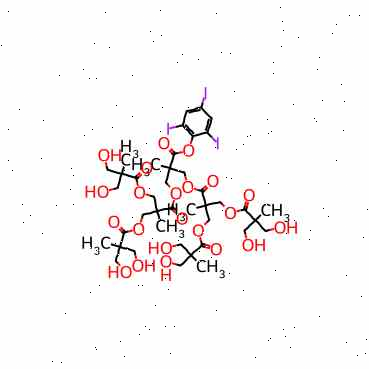 CC(CO)(CO)C(=O)OCC(C)(COC(=O)C(C)(CO)CO)C(=O)OCC(C)(COC(=O)C(C)(COC(=O)C(C)(CO)CO)COC(=O)C(C)(CO)CO)C(=O)Oc1c(I)cc(I)cc1I